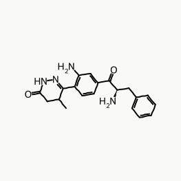 CC1CC(=O)NN=C1c1ccc(C(=O)[C@H](N)Cc2ccccc2)cc1N